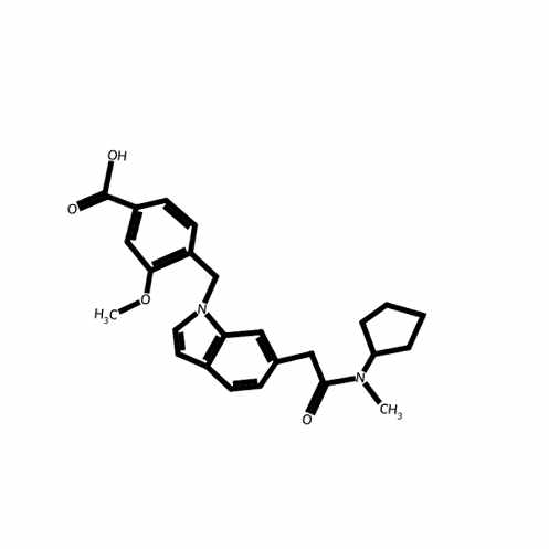 COc1cc(C(=O)O)ccc1Cn1ccc2ccc(CC(=O)N(C)C3CCCC3)cc21